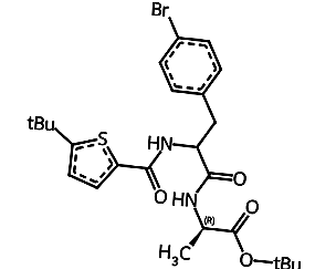 C[C@@H](NC(=O)C(Cc1ccc(Br)cc1)NC(=O)c1ccc(C(C)(C)C)s1)C(=O)OC(C)(C)C